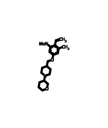 C=Cc1c(C)cc(OCC2CCN(C3CCCOC3)CC2)cc1NC